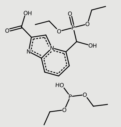 CCOP(=O)(OCC)C(O)c1cccc2nc(C(=O)O)cn12.CCOP(O)OCC